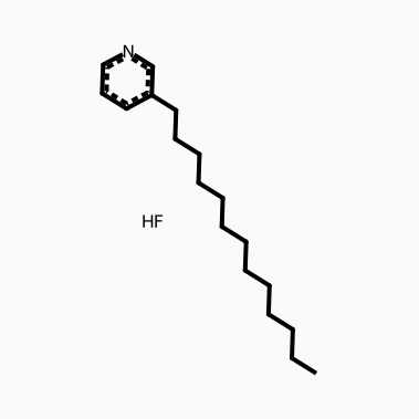 CCCCCCCCCCCCCc1cccnc1.F